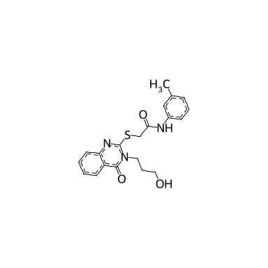 Cc1cccc(NC(=O)CSc2nc3ccccc3c(=O)n2CCCO)c1